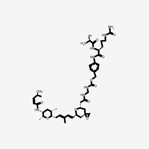 CC(=O)O[C@@H](C)/C=C\C(=O)N[C@@H]1C[C@H](C)[C@H](C/C=C(C)/C=C/[C@@H]2C[C@]3(CO3)C[C@@H](CC(=O)NCNC(=O)OCc3ccc(NC(=O)[C@H](CCCNC(N)=O)NC(=O)[C@@H](N)C(C)C)cc3)O2)O[C@@H]1C